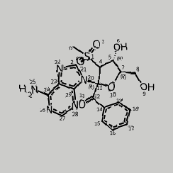 CS(=O)(=O)C1[C@H](O)[C@@H](CO)O[C@@]1(C(=O)c1ccccc1)n1cnc2c(N)ncnc21